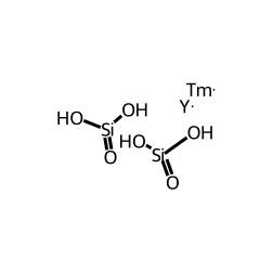 O=[Si](O)O.O=[Si](O)O.[Tm].[Y]